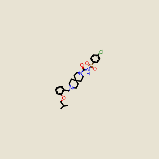 CC(C)COc1ccccc1CN1CCC2(CC1)CCN(C(=O)NS(=O)(=O)c1ccc(Cl)cc1)CC2